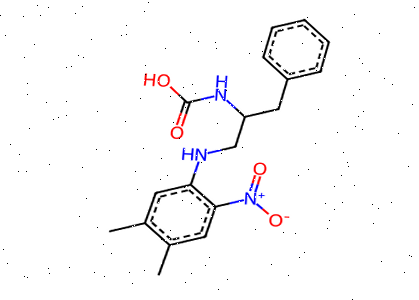 Cc1cc(NCC(Cc2ccccc2)NC(=O)O)c([N+](=O)[O-])cc1C